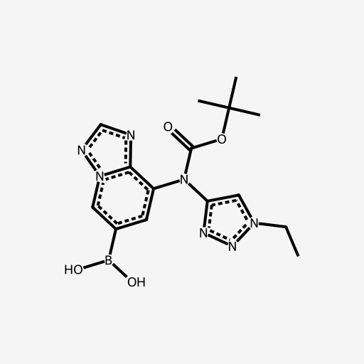 CCn1cc(N(C(=O)OC(C)(C)C)c2cc(B(O)O)cn3ncnc23)nn1